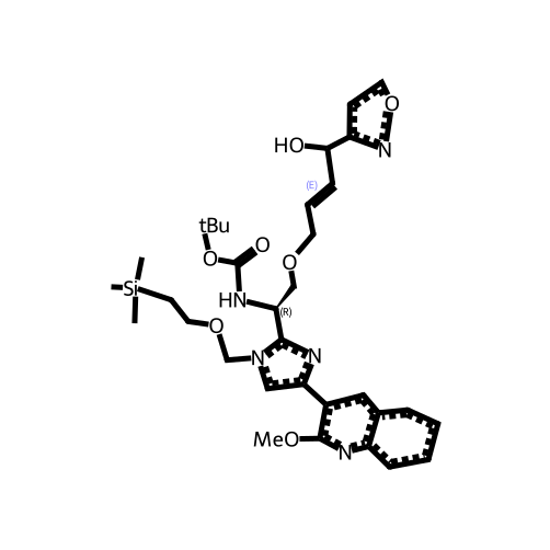 COc1nc2ccccc2cc1-c1cn(COCC[Si](C)(C)C)c([C@H](COC/C=C/C(O)c2ccon2)NC(=O)OC(C)(C)C)n1